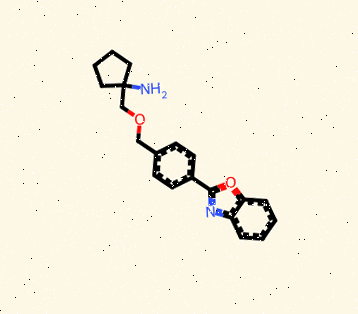 NC1(COCc2ccc(-c3nc4ccccc4o3)cc2)CCCC1